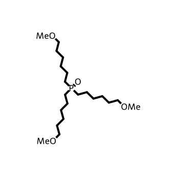 COCCCCCCP(=O)(CCCCCCOC)CCCCCCOC